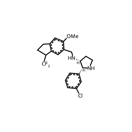 COc1cc2c(cc1CN[C@@H]1CCN[C@@H]1c1cccc(Cl)c1)C(C(F)(F)F)CC2